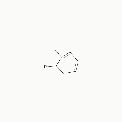 CC1=CC=CCC1C(C)C